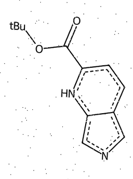 CC(C)(C)OC(=O)c1ccc2cncc-2[nH]1